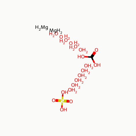 O.O.O.O.O.O.O.O.O.O.O.O.O=C(O)O.O=S(=O)(O)O.[MgH2].[MgH2]